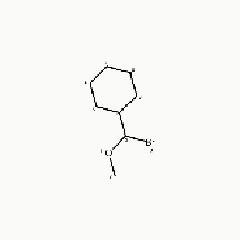 CO[C](Br)C1CCCCC1